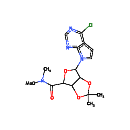 CON(C)C(=O)C1OC(n2ccc3c(Cl)ncnc32)C2OC(C)(C)OC12